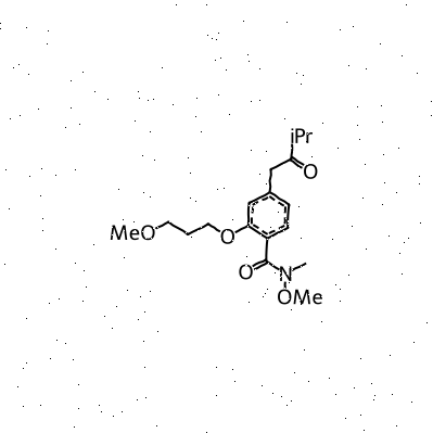 COCCCOc1cc(CC(=O)C(C)C)ccc1C(=O)N(C)OC